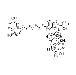 C=C(C)[C@@H]1CC[C@]2(C(=O)NCCCCCCCC(=O)N3C[C@H](O)CC[C@H]3C(=O)O)CC[C@]3(C)[C@H](CCC4[C@@]5(C)CC[C@H](O)C(C)(C)[C@@H]5CC[C@]43C)[C@@H]12